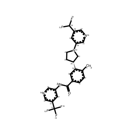 Cc1ccc(C(=O)Nc2cncc(C(F)(F)F)c2)cc1[C@@H]1CCN(c2cncc(C(F)F)c2)C1